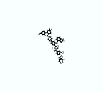 CC1(C)CCC(CN2CCN(c3ccc(C(=O)NS(=O)(=O)c4ccc(OCC5(F)CCOCC5)c(Cl)c4)c(Oc4cccc5[nH]cnc45)c3)CC2)=C(c2ccc(Cl)cc2)C1